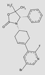 CC1(C)OC(=O)N([C@H]2CC=C(c3cc(Br)cnc3F)CC2)[C@H]1c1ccccc1